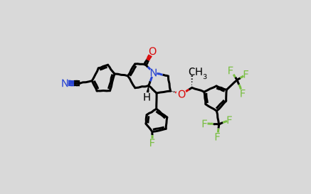 C[C@@H](O[C@H]1CN2C(=O)C=C(c3ccc(C#N)cc3)C[C@H]2C1c1ccc(F)cc1)c1cc(C(F)(F)F)cc(C(F)(F)F)c1